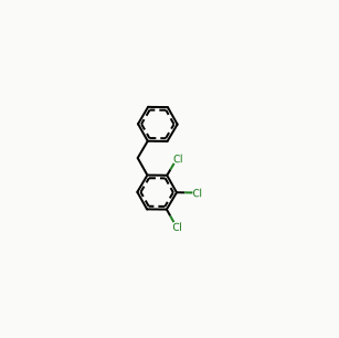 Clc1ccc(Cc2ccccc2)c(Cl)c1Cl